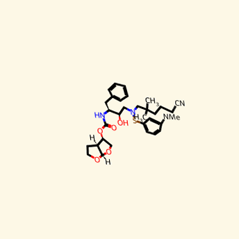 CNc1cccc(SN(C[C@@H](O)[C@H](Cc2ccccc2)NC(=O)O[C@H]2CO[C@H]3OCC[C@H]32)CC(C)(C)CCCC#N)c1